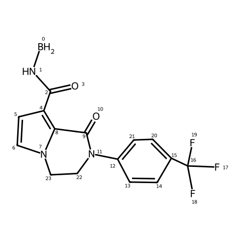 BNC(=O)c1ccn2c1C(=O)N(c1ccc(C(F)(F)F)cc1)CC2